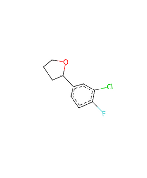 Fc1ccc([C]2CCCO2)cc1Cl